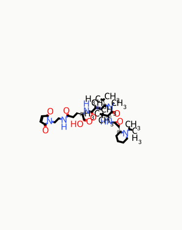 C/C(=C\[C@H](C(C)C)N(C)C(=O)[C@@H](NC1OC1[C@H]1CCCCN1C(C)C)C(C)(C)C)C(=O)N[C@H](CCC(=O)NCCN1C(=O)C=CC1=O)C(=O)O